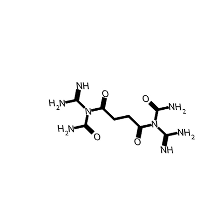 N=C(N)N(C(N)=O)C(=O)CCC(=O)N(C(=N)N)C(N)=O